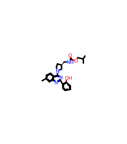 Cc1ccc2c(N3CC[C@@H](CNC(=O)OCC(C)C)C3)nc(-c3ccccc3O)nc2c1